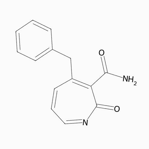 NC(=O)c1c(Cc2ccccc2)cccnc1=O